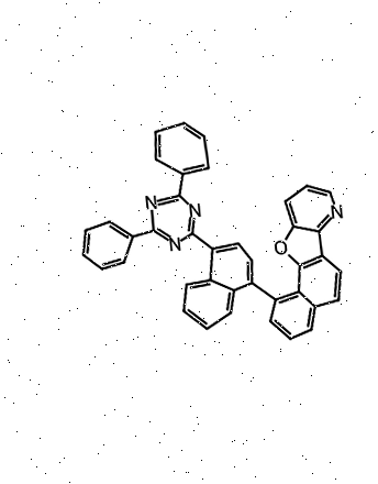 c1ccc(-c2nc(-c3ccccc3)nc(-c3ccc(-c4cccc5ccc6c7ncccc7oc6c45)c4ccccc34)n2)cc1